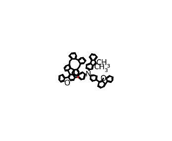 CC1(C)c2ccccc2-c2ccc(N(c3ccc(-c4cccc5c4oc4ccccc45)cc3)c3ccc4c(c3)oc3c(-c5cccc6c5-c5ccccc5Cc5ccccc5-c5ccccc5C6)c5c(cc34)oc3ccccc35)cc21